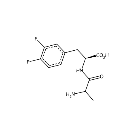 CC(N)C(=O)N[C@@H](Cc1ccc(F)c(F)c1)C(=O)O